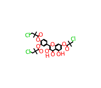 CC(C)(CCl)C(=O)Oc1cc(O)c2c(=O)c(O)c(-c3ccc(OC(=O)C(C)(C)CCl)c(OC(=O)C(C)(C)CCl)c3)oc2c1